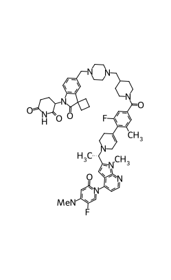 CNc1cc(=O)n(-c2ccnc3c2cc([C@H](C)N2CC=C(c4c(C)cc(C(=O)N5CCC(CN6CCN(Cc7ccc8c(c7)C7(CCC7)C(=O)N8C7CCC(=O)NC7=O)CC6)CC5)cc4F)CC2)n3C)cc1F